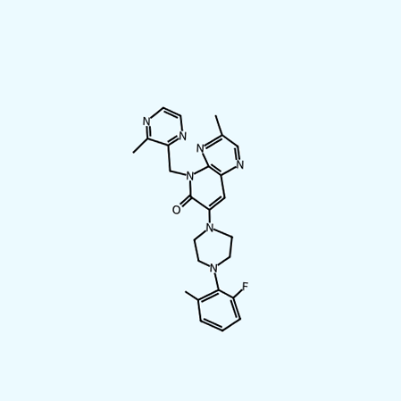 Cc1cnc2cc(N3CCN(c4c(C)cccc4F)CC3)c(=O)n(Cc3nccnc3C)c2n1